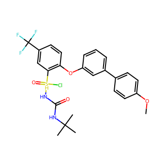 COc1ccc(-c2cccc(Oc3ccc(C(F)(F)F)cc3[SH](=O)(Cl)NC(=O)NC(C)(C)C)c2)cc1